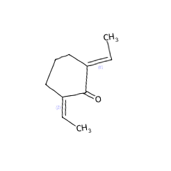 C/C=C1/CCC/C(=C\C)C1=O